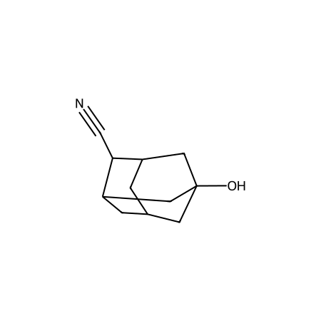 N#CC1C2CC3CC1CC(O)(C3)C2